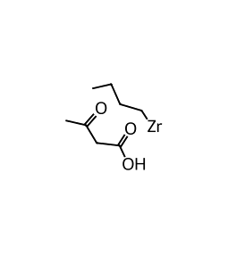 CC(=O)CC(=O)O.CCC[CH2][Zr]